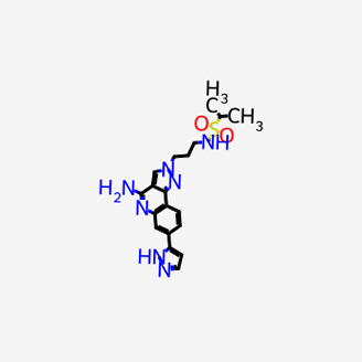 CC(C)S(=O)(=O)NCCCn1cc2c(N)nc3cc(-c4ccn[nH]4)ccc3c2n1